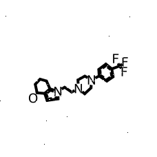 O=C1CCCc2c1ccn2CCN1CCN(c2ccc(C(F)(F)F)cc2)CC1